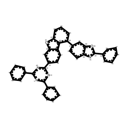 c1ccc(-c2nc(-c3ccccc3)nc(-c3ccc4c(c3)oc3cccc(-c5ccc6nc(-c7ccccc7)oc6c5)c34)n2)cc1